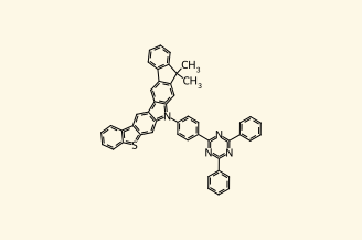 CC1(C)c2ccccc2-c2cc3c4cc5c(cc4n(-c4ccc(-c6nc(-c7ccccc7)nc(-c7ccccc7)n6)cc4)c3cc21)sc1ccccc15